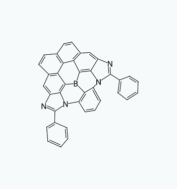 c1ccc(-c2nc3cc4ccc5ccc6cc7nc(-c8ccccc8)n8c7c7c6c5c4c4c3n2-c2cccc-8c2B47)cc1